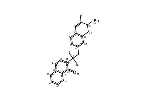 CC1=Cc2ccc(CC(C)(C)n3ccc4ccccc4c3=O)cc2CC1C(C)(C)C